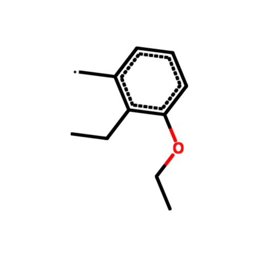 [CH2]c1cccc(OCC)c1CC